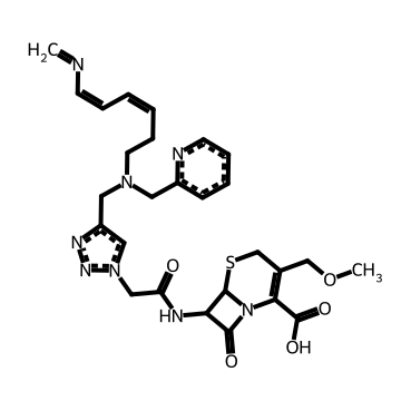 C=N/C=C\C=C/CCN(Cc1ccccn1)Cc1cn(CC(=O)NC2C(=O)N3C(C(=O)O)=C(COC)CSC23)nn1